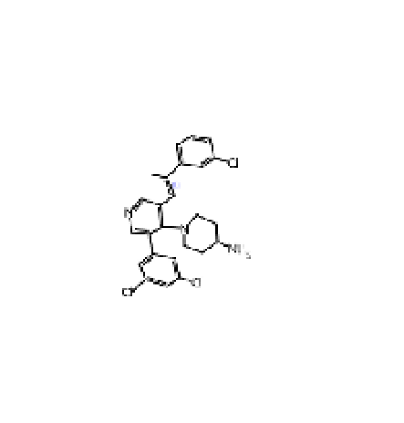 C/C(=C\c1cncc(-c2cc(Cl)cc(Cl)c2)c1N1CCC(N)CC1)c1cccc(Cl)c1